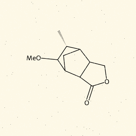 COC1C2CC(C3COC(=O)C32)[C@H]1C